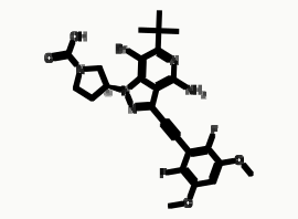 COc1cc(OC)c(F)c(C#Cc2nn([C@H]3CCN(C(=O)O)C3)c3c(Br)c(C(C)(C)C)nc(N)c23)c1F